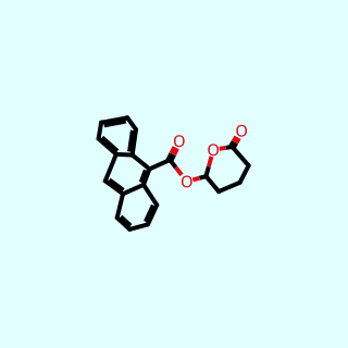 O=C1CCCC(OC(=O)c2c3ccccc3cc3ccccc23)O1